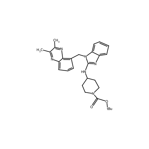 Cc1nc2cccc(Cn3c(NC4CCN(C(=O)OC(C)(C)C)CC4)nc4ccccc43)c2nc1C